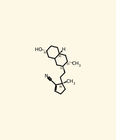 C[C@H]1C[C@H]2CC[C@@H](O)CC2C[C@@H]1CC[C@]1(C)CCC=C1C#N